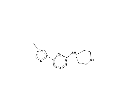 Cc1cnc(-c2ccnc(NC3CCNCC3)n2)s1